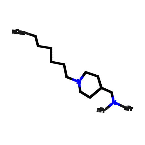 CCCCCCCCCCCCCCCCN1CCC(CN(CCC)CCC)CC1